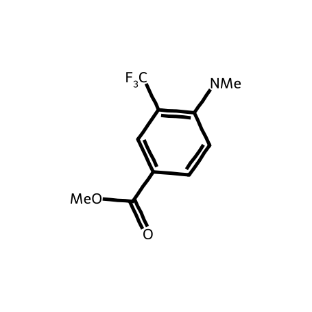 CNc1ccc(C(=O)OC)cc1C(F)(F)F